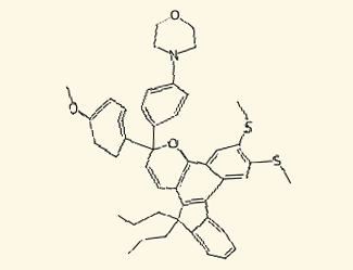 CCCC1(CCC)c2ccccc2-c2c1c1c(c3cc(SC)c(SC)cc23)OC(C2=CC=C(OC)CC2)(c2ccc(N3CCOCC3)cc2)C=C1